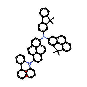 CC1(C)c2ccccc2-c2ccc(N(c3cc4c5c(ccc6cccc(c65)C4(C)C)c3)c3ccc4ccc5c(N(c6ccccc6)c6ccccc6-c6ccccc6)ccc6ccc3c4c65)cc21